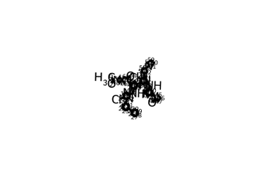 CC(=O)N1CC2(CC(=O)N(c3cc(Nc4ncc(Cl)c(-c5cccc(-c6ccccc6)c5)n4)c[n+](-c4nc(Nc5cncc(N6CCCC6=O)c5)nc(N5CCC(N6CCCC6)C5)c4Cl)c3)C2)C1